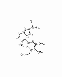 CNc1c(CC=O)cc(-c2c(C(F)(F)F)ccc3nc(C(F)F)nn23)cc1OC